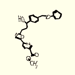 COC(=O)c1ccc(-c2cnc(CCC(O)c3ccc(COc4ccccc4)cc3)o2)nc1